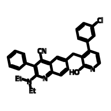 CCN(CC)c1nc2ccc(Cc3c(-c4cccc(Cl)c4)ccnc3O)cc2c(C#N)c1-c1ccccc1